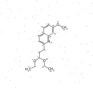 CCOC(CCc1ccc2ccc(OC)cc2n1)OCC